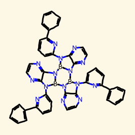 c1ccc(-c2cccc(N3B4N(B5N(B6N4c4nccnc4N6c4cccc(-c6ccccc6)n4)c4nccnc4N5c4cccc(-c5ccccc5)n4)c4nccnc43)n2)cc1